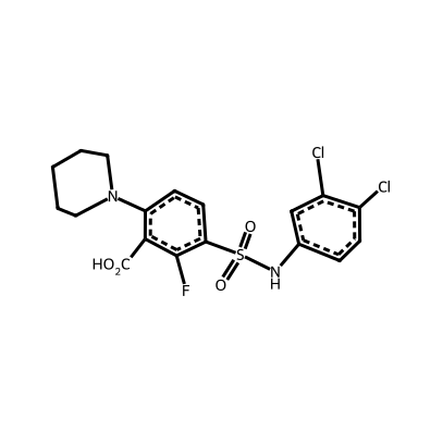 O=C(O)c1c(N2CCCCC2)ccc(S(=O)(=O)Nc2ccc(Cl)c(Cl)c2)c1F